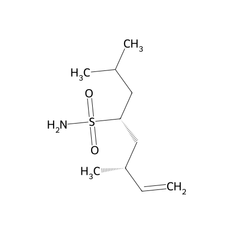 C=C[C@H](C)C[C@@H](CC(C)C)S(N)(=O)=O